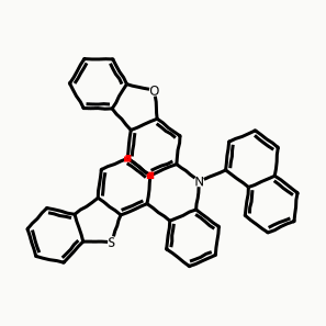 c1ccc(N(c2ccc3c(c2)oc2ccccc23)c2cccc3ccccc23)c(-c2cccc3c2sc2ccccc23)c1